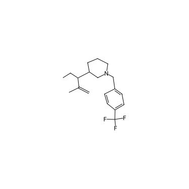 C=C(C)C(CC)C1CCCN(Cc2ccc(C(F)(F)F)cc2)C1